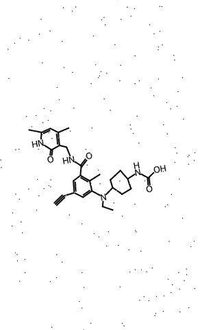 C#Cc1cc(C(=O)NCc2c(C)cc(C)[nH]c2=O)c(C)c(N(CC)C2CCC(NC(=O)O)CC2)c1